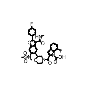 CNC(=O)c1c(-c2ccc(F)cc2)oc2cc(N(C)S(C)(=O)=O)c(C3CN(C(=O)c4cc5cccc(F)c5n4C(=O)O)CCO3)cc12